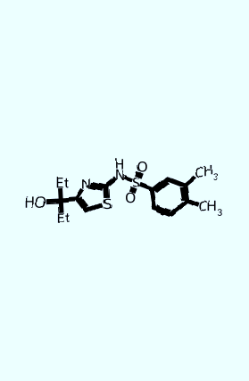 CCC(O)(CC)c1csc(NS(=O)(=O)c2ccc(C)c(C)c2)n1